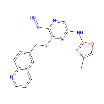 Cc1coc(Nc2cnc(N=N)c(NCc3ccc4ncccc4c3)n2)n1